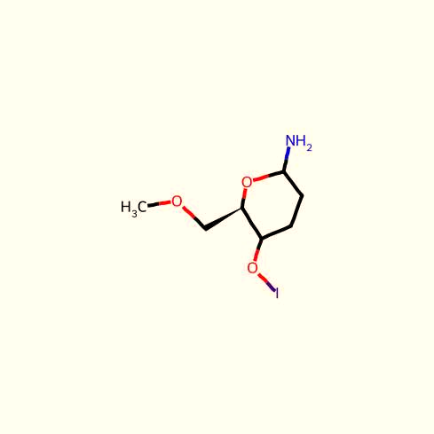 COC[C@H]1OC(N)CCC1OI